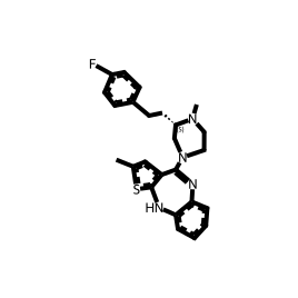 Cc1cc2c(s1)Nc1ccccc1N=C2N1CCN(C)[C@@H](CCc2ccc(F)cc2)C1